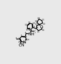 Cc1cc(CNCC[C@@]2(c3ccccn3)CCOC3(CCCC3)C2)cnc1C#N